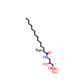 CCCCCCCCCCCCCC(=O)NCC(O)CS(=O)(=O)O.[NaH]